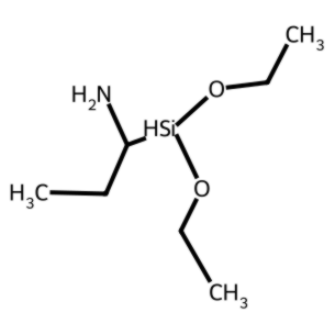 CCO[SiH](OCC)C(N)CC